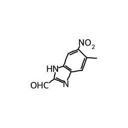 Cc1cc2nc(C=O)[nH]c2cc1[N+](=O)[O-]